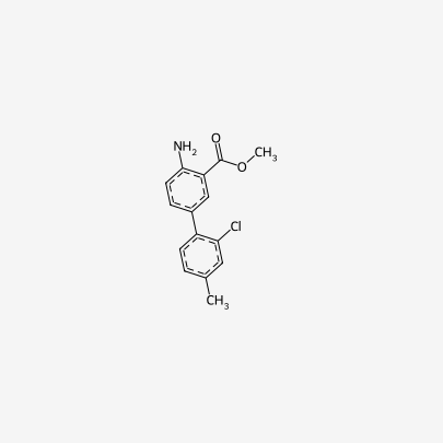 COC(=O)c1cc(-c2ccc(C)cc2Cl)ccc1N